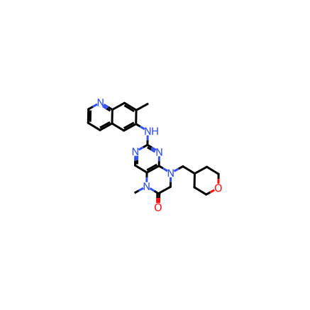 Cc1cc2ncccc2cc1Nc1ncc2c(n1)N(CC1CCOCC1)CC(=O)N2C